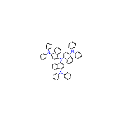 c1ccc(N(c2ccccc2)c2ccc(N(c3ccc(N(c4ccccc4)c4ccccc4)c4ccccc34)c3ccc(N(c4ccccc4)c4ccccc4)c4ccccc34)c3ccccc23)cc1